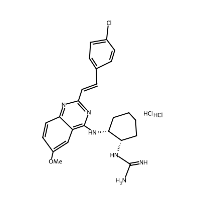 COc1ccc2nc(C=Cc3ccc(Cl)cc3)nc(N[C@@H]3CCCC[C@@H]3NC(=N)N)c2c1.Cl.Cl